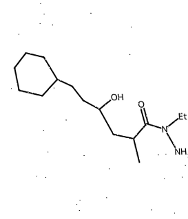 CCN(N)C(=O)C(C)CC(O)CCC1CCCCC1